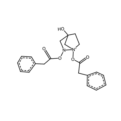 O=C(Cc1ccccc1)ON1CC2(O)CC[N+]1(OC(=O)Cc1ccccc1)C2